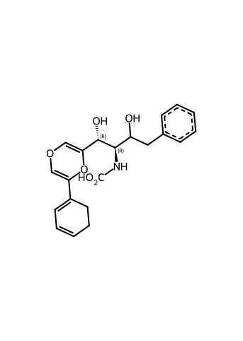 O=C(O)N[C@H](C(O)Cc1ccccc1)[C@@H](O)C1=COC=C(C2=CC=CCC2)O1